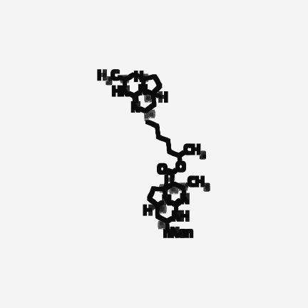 CCCCCCCCC[C@H]1C[C@H]2CC[C@@H]3[C@H](C(=O)OC(C)CCCCC[C@H]4C[C@H]5CC[C@@H]6C[C@H](C)NC(=N4)N56)[C@H](C)N=C(N1)N23